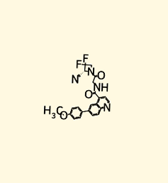 COc1ccc(-c2ccc3nccc(C(=O)NCC(=O)N4CC(F)(F)[C@H]4C#N)c3c2)cc1